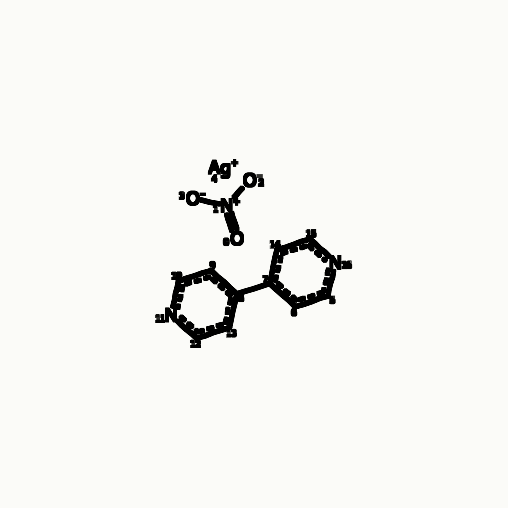 O=[N+]([O-])[O-].[Ag+].c1cc(-c2ccncc2)ccn1